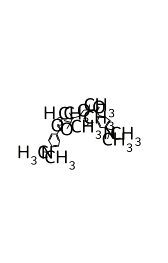 CCC(C)(OC(=O)c1ccc(N(C)C)cc1)C(C)COC(C)(C)C(=O)c1ccc(N(C)C)cc1